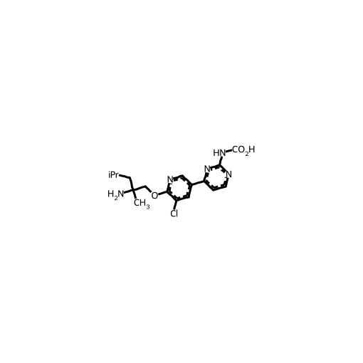 CC(C)CC(C)(N)COc1ncc(-c2ccnc(NC(=O)O)n2)cc1Cl